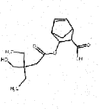 CCC(CC)(CO)CC(=O)OC1C2C=CC(C2)C1C(=O)O